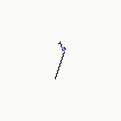 CCCCCCCCCCCCCCCCCn1cc[n+](CCC(C)C)c1